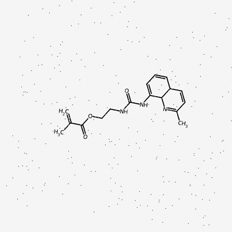 C=C(C)C(=O)OCCNC(=O)NC1=CC=CC2C=CC(C)=NC12